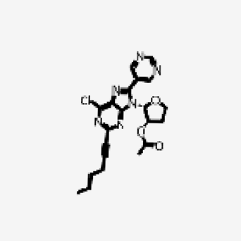 CCCCC#Cc1nc(Cl)c2nc(-c3cncnc3)n([C@@H]3OCC[C@H]3OC(C)=O)c2n1